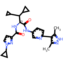 Cc1n[nH]c(C)c1-c1ccc(NC(=O)[C@@H](NC(=O)c2ccn(C3CC3)n2)C(C2CC2)C2CC2)cn1